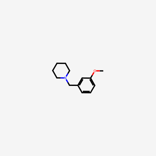 COc1cccc(CN2CCCCC2)c1